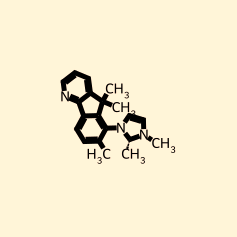 Cc1ccc2c(c1N1C=CN(C)[C@@H]1C)C(C)(C)c1cccnc1-2